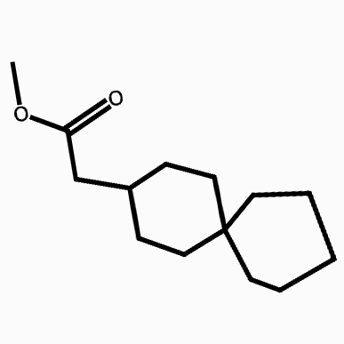 COC(=O)CC1CCC2(CCCCC2)CC1